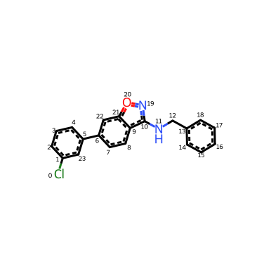 Clc1cccc(-c2ccc3c(NCc4ccccc4)noc3c2)c1